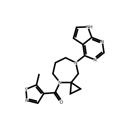 Cc1sncc1C(=O)N1CCCN(c2ncnc3[nH]ccc23)CC12CC2